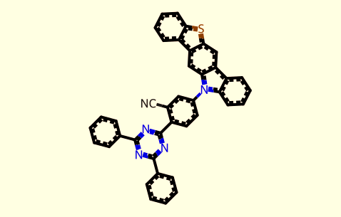 N#Cc1cc(-n2c3ccccc3c3cc4sc5ccccc5c4cc32)ccc1-c1nc(-c2ccccc2)nc(-c2ccccc2)n1